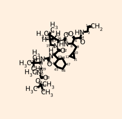 C=CCNC(=O)C(=O)C(CC1CC1)NC(=O)[C@@H]1[C@@H]2[C@H](CN1C(=O)[C@@H](NC(=O)N[C@H](CN(C)C(=O)OC(C)(C)C)C(C)(C)C)C1CCCCC1)C2(C)C